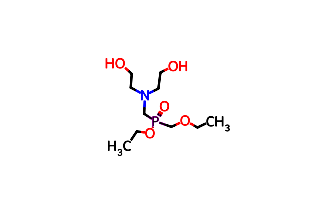 CCOCP(=O)(CN(CCO)CCO)OCC